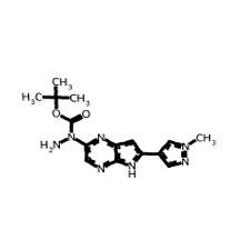 Cn1cc(-c2cc3nc(N(N)C(=O)OC(C)(C)C)cnc3[nH]2)cn1